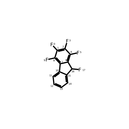 Fc1c(F)c(F)c2c(c1F)-c1ccccc1C2F